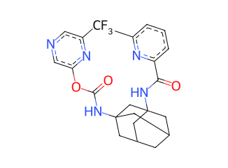 Cc1cccc(C(=O)NC23CC4CC(CC(NC(=O)Oc5cncc(C(F)(F)F)n5)(C4)C2)C3)n1